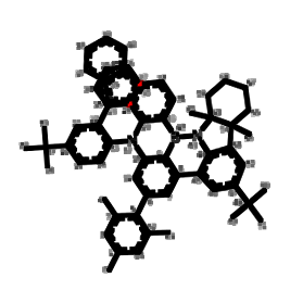 Cc1cc(C)c(-c2cc3c4c(c2)N(c2ccc(C(C)(C)C)cc2-c2ccccc2)c2c(ccc5c2oc2ccccc25)B4N2c4c-3cc(C(C)(C)C)cc4C3(C)CCCCC23C)c(C)c1